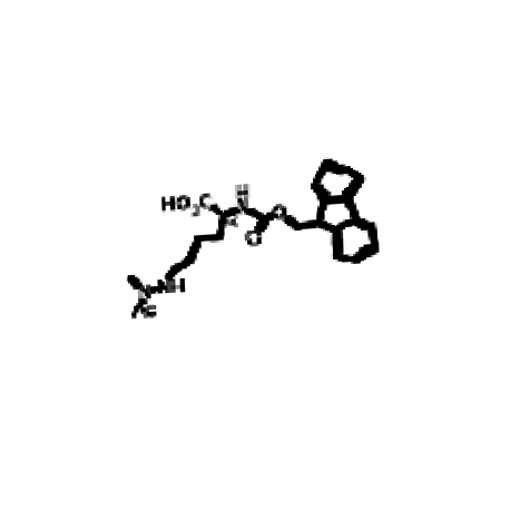 CC(=O)N(C)NCCCC[C@H](NC(=O)OCC1c2ccccc2-c2ccccc21)C(=O)O